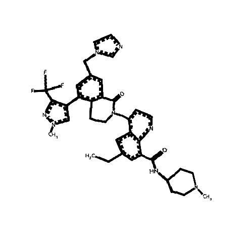 CCc1cc(C(=O)NC2CCN(C)CC2)c2nccc(N3CCc4c(cc(Cn5ccnc5)cc4-c4cn(C)nc4C(F)(F)F)C3=O)c2c1